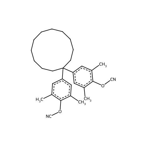 Cc1cc(C2(c3cc(C)c(OC#N)c(C)c3)CCCCCCCCCCC2)cc(C)c1OC#N